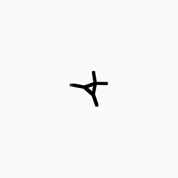 [CH2]C1C(C)C1(C)C